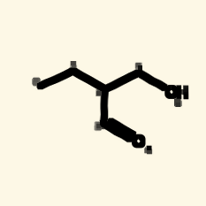 CCC([C]=O)CO